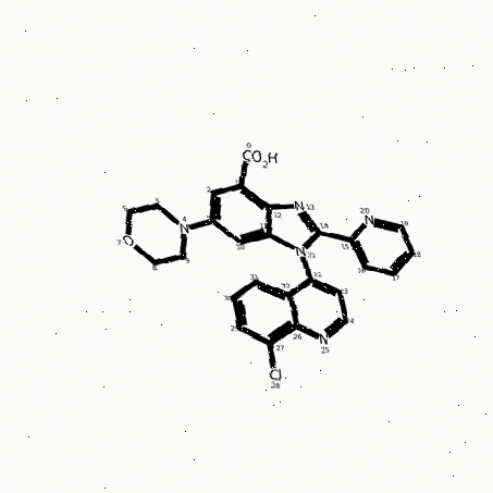 O=C(O)c1cc(N2CCOCC2)cc2c1nc(-c1ccccn1)n2-c1ccnc2c(Cl)cccc12